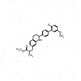 COC(=O)C(C)Cc1ccc2c(c1)NC(c1ccc(-c3cc(OC)ccc3F)cc1)CC2